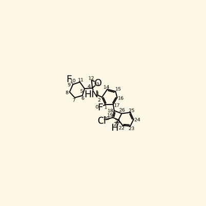 Fc1c(NC2(C3CCC[C@H](F)C3)CO2)cccc1C1=C(Cl)[C@H]2C=CC=CC12